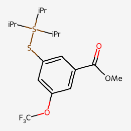 COC(=O)c1cc(OC(F)(F)F)cc(SS(C(C)C)(C(C)C)C(C)C)c1